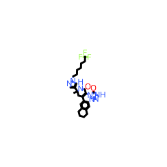 CC1(c2cnn(CCCCCCC(F)(F)F)c2)CC(c2ccc3c(c2)CCCC3)=C(n2nn[nH]c2=O)C(=O)N1